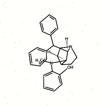 CN(c1ccccc1O)[C@@H]1C2CCN(CC2)[C@@H]1C(c1ccccc1)c1ccccc1